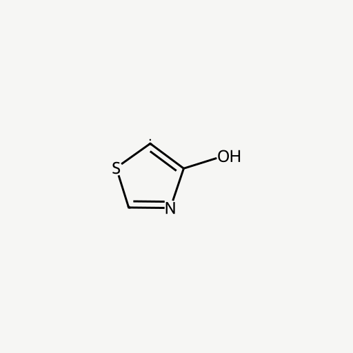 Oc1[c]scn1